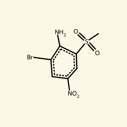 CS(=O)(=O)c1cc([N+](=O)[O-])cc(Br)c1N